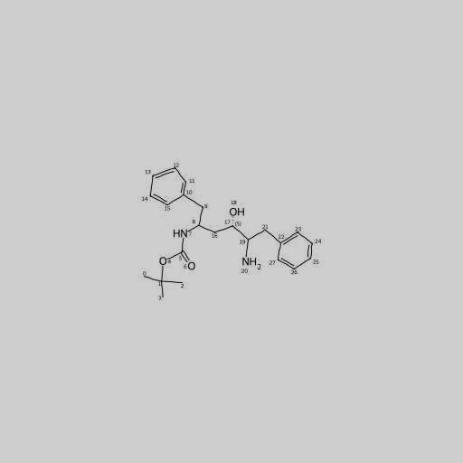 CC(C)(C)OC(=O)NC(Cc1ccccc1)C[C@H](O)C(N)Cc1ccccc1